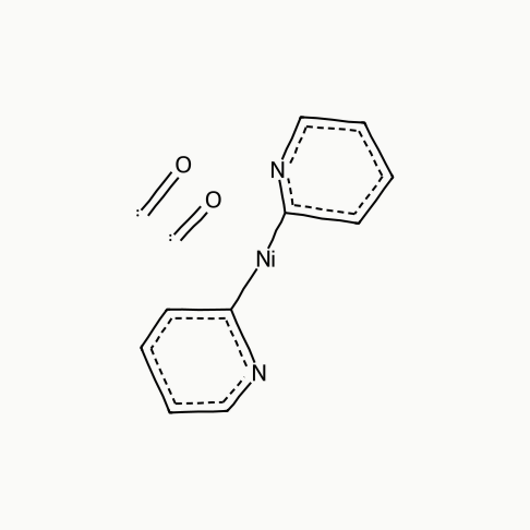 [C]=O.[C]=O.c1cc[c]([Ni][c]2ccccn2)nc1